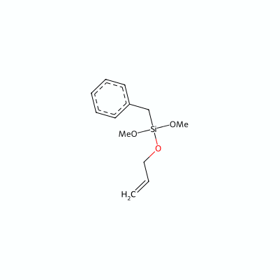 C=CCO[Si](Cc1ccccc1)(OC)OC